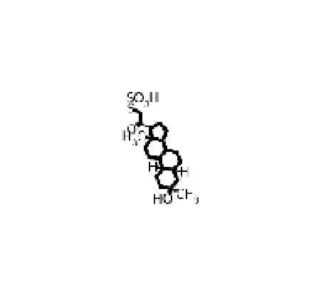 C[C@@]1(O)CC[C@@H]2C3CC[C@@]4(C)C(CC[C@@H]4C(=O)CSS(=O)(=O)O)C3CC[C@@H]2C1